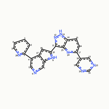 c1ccc(-c2cncc3[nH]c(-c4n[nH]c5ccc(-c6cncnc6)nc45)cc23)nc1